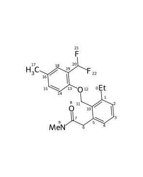 CCc1cccc(CC(=O)NC)c1COc1ccc(C)cc1C(F)F